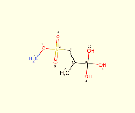 CC(CS(=O)(=O)ON)C(O)(O)O